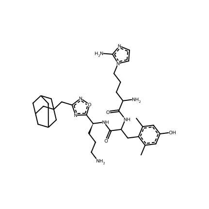 Cc1cc(O)cc(C)c1CC(NC(=O)C(N)CCCn1ccnc1N)C(=O)N[C@@H](CCCN)c1nc(CC23CC4CC(CC(C4)C2)C3)no1